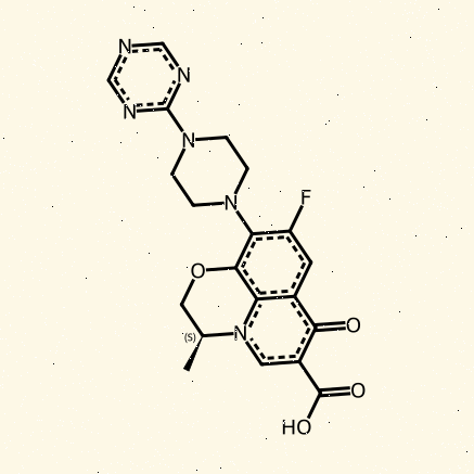 C[C@H]1COc2c(N3CCN(c4ncncn4)CC3)c(F)cc3c(=O)c(C(=O)O)cn1c23